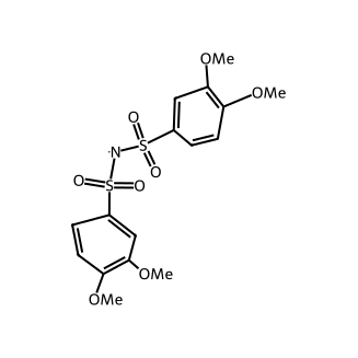 COc1ccc(S(=O)(=O)[N]S(=O)(=O)c2ccc(OC)c(OC)c2)cc1OC